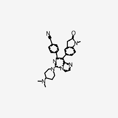 CN1C(=O)Cc2cc(-c3c(-c4ccc(C#N)cc4)nc(N4CCC(N(C)C)CC4)n4ccnc34)ccc21